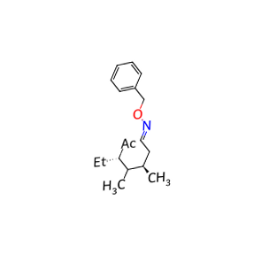 CC[C@H](C(C)=O)C(C)[C@H](C)C/C=N/OCc1ccccc1